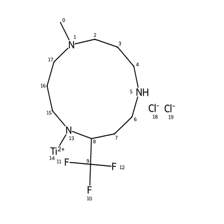 CN1CCCNCCC(C(F)(F)F)[N]([Ti+2])CCC1.[Cl-].[Cl-]